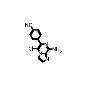 N#Cc1ccc(-c2nc(N)c3nccn3c2Cl)cc1